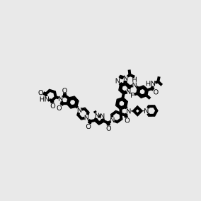 Cc1cc(F)c(Nc2nc(-c3ccc4c(c3)N([C@H]3C[C@@H](N5CCCCC5)C3)C(=O)C43CCN(C(=O)c4cc(C(=O)N5CCN(c6ccc7c(c6)C(=O)N(C6CCC(=O)NC6=O)C7=O)CC5)n(C)n4)CC3)cc3ncn(C(C)C)c23)cc1C(=O)NC(C)C